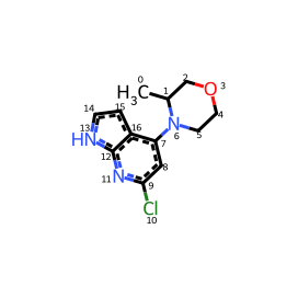 CC1COCCN1c1cc(Cl)nc2[nH]ccc12